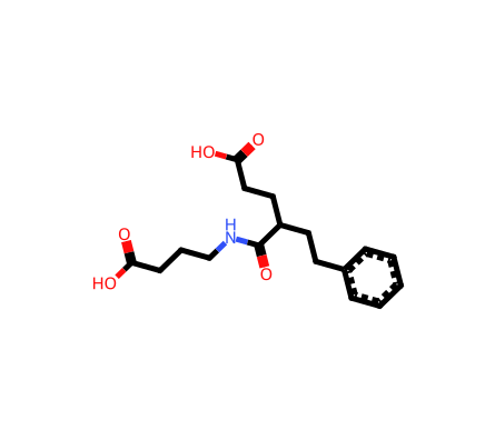 O=C(O)CCCNC(=O)C(CCC(=O)O)CCc1ccccc1